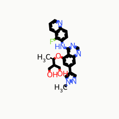 C[C@@H](Oc1cc(-c2cnn(C)c2)cc2ncnc(Nc3ccc4ncccc4c3F)c12)C(CO)CO